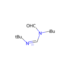 CCC(C)N(C=O)/C=N\C(C)(C)C